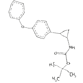 CC(C)(C)OC(=O)NC1CC1c1ccc(Oc2ccccc2)cc1